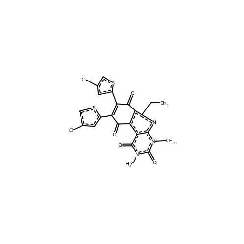 CCc1nc2c(c3c1C(=O)C(c1cc(Cl)cs1)=C(c1cc(Cl)cs1)C3=O)c(=O)n(C)c(=O)n2C